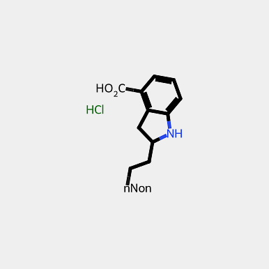 CCCCCCCCCCCC1Cc2c(cccc2C(=O)O)N1.Cl